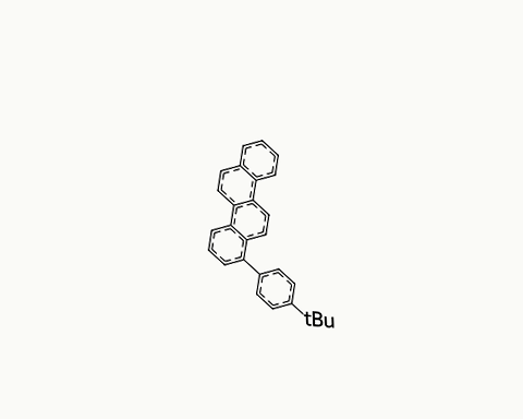 CC(C)(C)c1ccc(-c2cccc3c2ccc2c4ccccc4ccc32)cc1